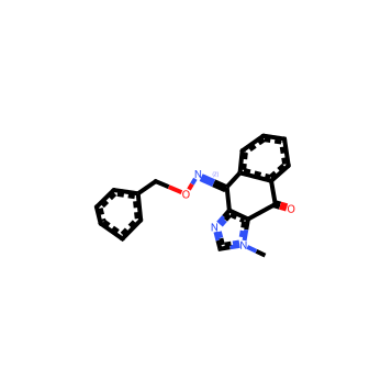 Cn1cnc2c1C(=O)c1ccccc1/C2=N/OCc1ccccc1